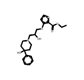 CCOC(=O)c1sccc1OCC(O)CN1CCC(O)(c2ccccc2)CC1